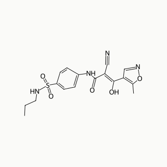 CCCNS(=O)(=O)c1ccc(NC(=O)/C(C#N)=C(\O)c2cnoc2C)cc1